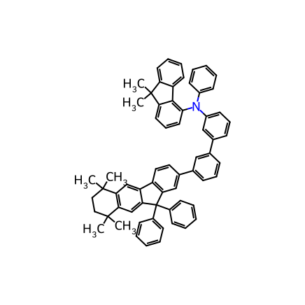 CC1(C)CCC(C)(C)c2cc3c(cc21)-c1ccc(-c2cccc(-c4cccc(N(c5ccccc5)c5cccc6c5-c5ccccc5C6(C)C)c4)c2)cc1C3(c1ccccc1)c1ccccc1